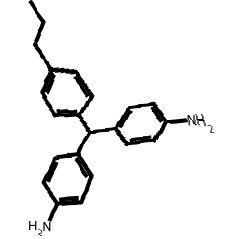 CCCc1ccc(C(c2ccc(N)cc2)c2ccc(N)cc2)cc1